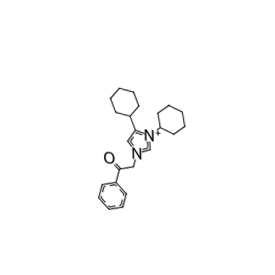 O=C(Cn1cc(C2CCCCC2)[n+](C2CCCCC2)c1)c1ccccc1